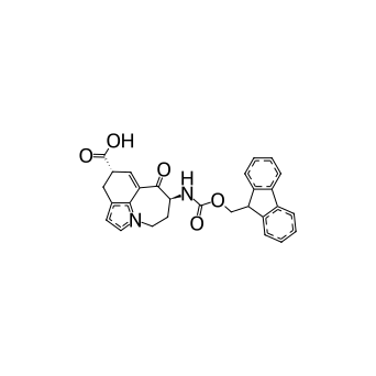 O=C(N[C@H]1CCn2ccc3c2C(=C[C@@H](C(=O)O)C3)C1=O)OCC1c2ccccc2-c2ccccc21